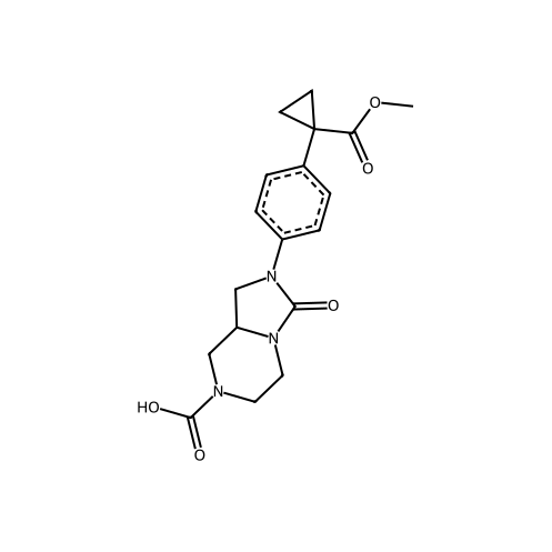 COC(=O)C1(c2ccc(N3CC4CN(C(=O)O)CCN4C3=O)cc2)CC1